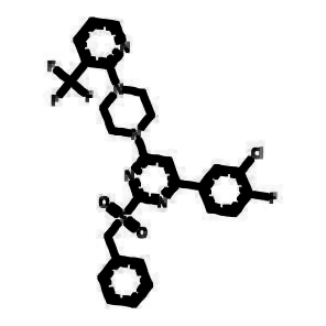 O=S(=O)(Cc1ccccc1)c1nc(-c2ccc(F)c(Cl)c2)cc(N2CCN(c3ncccc3C(F)(F)F)CC2)n1